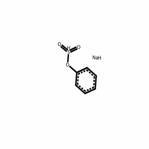 O=[SH](=O)Oc1ccccc1.[NaH]